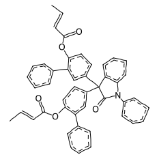 CC=CC(=O)Oc1ccc(C2(c3ccc(OC(=O)C=CC)c(-c4ccccc4)c3)C(=O)N(c3ccccc3)c3ccccc32)cc1-c1ccccc1